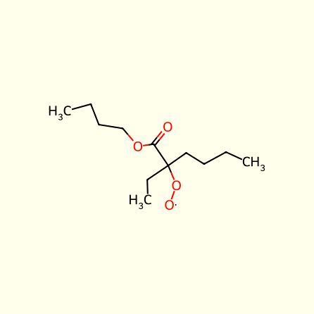 CCCCOC(=O)C(CC)(CCCC)O[O]